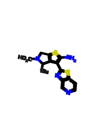 CC(C)(C)C1c2c(sc(N)c2-c2nc3cnccc3s2)CN1C(=O)O